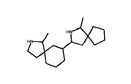 CC1NCCC12CCCC(C1CC3(CCCC3)C(C)N1)C2